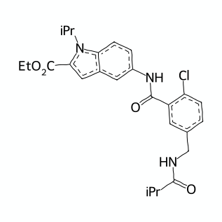 CCOC(=O)c1cc2cc(NC(=O)c3cc(CNC(=O)C(C)C)ccc3Cl)ccc2n1C(C)C